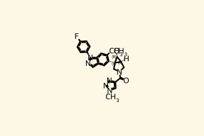 Cc1cc2c(cnn2-c2ccc(F)cc2)cc1[C@@]12CN(C(=O)c3cn(C)nn3)C[C@@H]1[C@H]2C